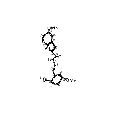 COc1ccc(O)c(/C=N/NC(=O)c2cc3cc(OC)ccc3[nH]2)c1